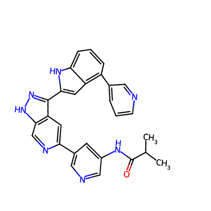 CC(C)C(=O)Nc1cncc(-c2cc3c(-c4cc5c(-c6cccnc6)cccc5[nH]4)n[nH]c3cn2)c1